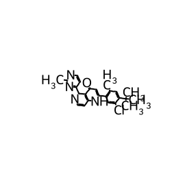 Cc1nccc(-c2nccc3[nH]c(-c4cc(Cl)c(C(C)(C)C)cc4C)cc(=O)c23)n1